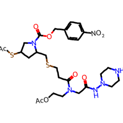 CC(=O)OCCN(CC(=O)NN1CCNCC1)C(=O)CCSCC1CC(SC(C)=O)CN1C(=O)OCc1ccc([N+](=O)[O-])cc1